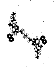 CNN(C(=O)C(C)C(=O)OC(C)(C)C)C(C(=O)N1CCC2C1C(C(=O)Nc1cccc3ccccc13)CN2C(=O)CNC(=O)C(=O)NCC(=O)N1CC(C(=O)Nc2cccc3ccccc23)C2C1CCN2C(=O)C(N(NC)C(=O)C(C)C(=O)OC(C)(C)C)C(C)(C)C)C(C)(C)C